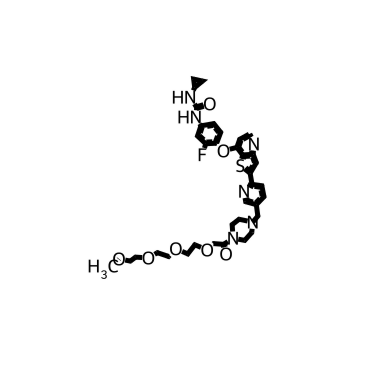 COCCOCCOCCOCC(=O)N1CCN(Cc2ccc(-c3cc4nccc(Oc5ccc(NC(=O)NC6CC6)cc5F)c4s3)nc2)CC1